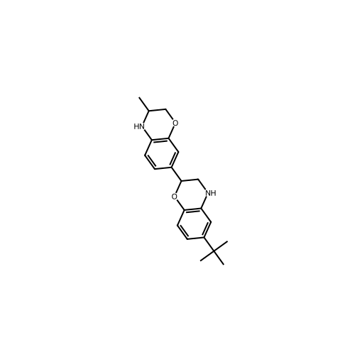 CC1COc2cc(C3CNc4cc(C(C)(C)C)ccc4O3)ccc2N1